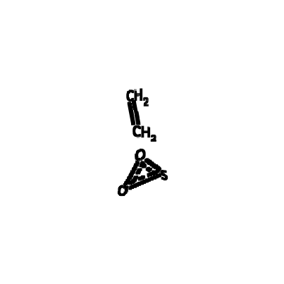 C=C.o1os1